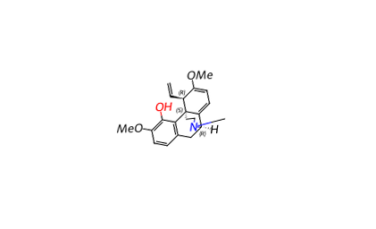 C=C[C@H]1C(OC)=CC=C2[C@H]3Cc4ccc(OC)c(O)c4[C@]21CCN3C